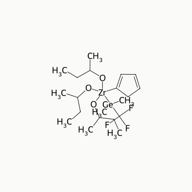 CCC(C)[O][Zr]([O]C(C)CC)([O]C(C)CC)([C]1=CC=CC1)[Ge]([CH3])([CH3])[C](F)(F)F